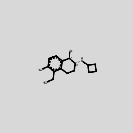 OCc1c(O)ccc2c1CC[C@@H](NC1CCC1)[C@@H]2O